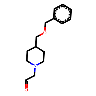 O=CCN1CCC(COCc2ccccc2)CC1